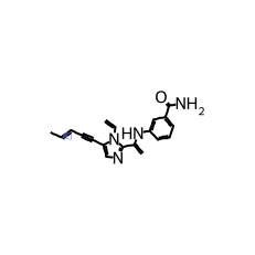 C=Cn1c(C#C/C=C/C)cnc1C(=C)Nc1cccc(C(N)=O)c1